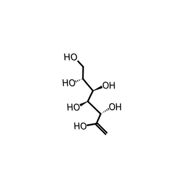 C=C(O)[C@@H](O)[C@@H](O)[C@H](O)[C@H](O)CO